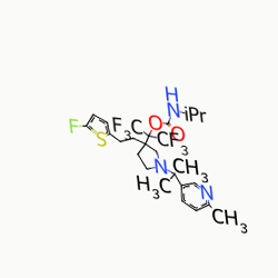 Cc1ccc(C(C)(C)N2CCC(CCc3ccc(F)s3)(C(OC(=O)NC(C)C)(C(F)(F)F)C(F)(F)F)C2)cn1